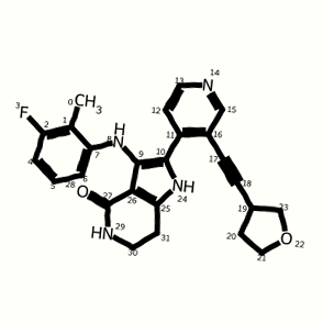 Cc1c(F)cccc1Nc1c(-c2ccncc2C#CC2CCOC2)[nH]c2c1C(=O)NCC2